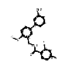 CCOc1ccc(-c2cccc(C=O)c2)cc1CNC(=O)c1ccc(Cl)cc1Cl